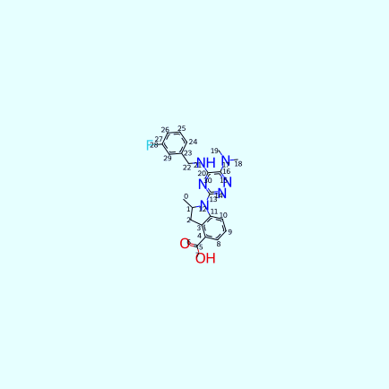 CC1Cc2c(C(=O)O)cccc2N1c1nnc(N(C)C)c(NCc2cccc(F)c2)n1